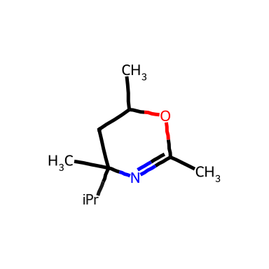 CC1=NC(C)(C(C)C)CC(C)O1